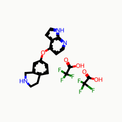 O=C(O)C(F)(F)F.O=C(O)C(F)(F)F.c1cc(Oc2ccc3c(c2)CNCC3)c2cc[nH]c2n1